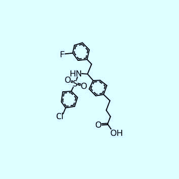 O=C(O)CCCc1ccc(C(Cc2cccc(F)c2)NS(=O)(=O)c2ccc(Cl)cc2)cc1